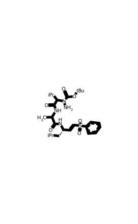 CC(C)C[C@@H](/C=C/S(=O)(=O)c1ccccc1)NC(=O)C(C)NC(=O)C(C(C)C)N(N)C(=O)OC(C)(C)C